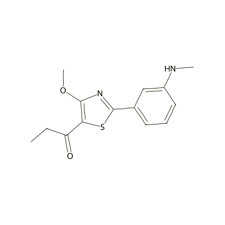 CCC(=O)c1sc(-c2cccc(NC)c2)nc1OC